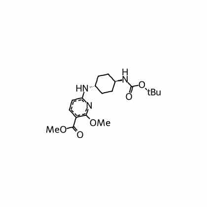 COC(=O)c1ccc(N[C@H]2CC[C@H](NC(=O)OC(C)(C)C)CC2)nc1OC